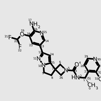 C[C@H](NC(=O)N1CC2(CCn3nc(-c4cnc(N)c(OC(F)F)c4)cc32)C1)c1ccncc1Cl